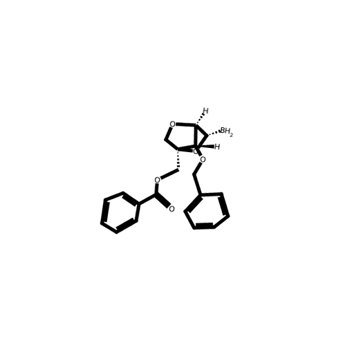 B[C@@H]1O[C@@]2(COC(=O)c3ccccc3)CO[C@@H]1[C@@H]2OCc1ccccc1